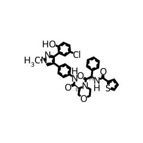 Cn1cc(-c2ccc(NC(=O)[C@@H]3COCCN3C(=O)[C@H](NC(=O)c3cccs3)c3ccccc3)cc2)c(-c2cc(Cl)ccc2O)n1